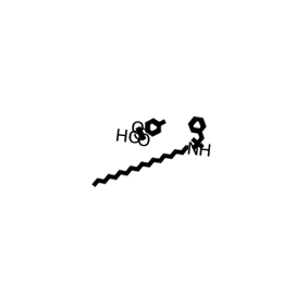 CCCCCCCCCCCCCCCCCCNC(C)(C)Cc1ccccc1.Cc1ccc(S(=O)(=O)O)cc1